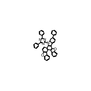 C1=C(c2ccccc2)CC2C(=C1)c1c(c3ccc4oc5ccccc5c4c3c3c1oc1ccccc13)N2c1nc(-c2ccccc2)nc(-c2ccccc2)n1